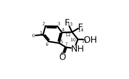 Cc1ccc2c(c1)C(=O)NC(O)C2(F)F